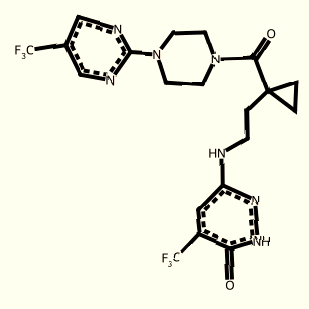 O=C(N1CCN(c2ncc(C(F)(F)F)cn2)CC1)C1(CCNc2cc(C(F)(F)F)c(=O)[nH]n2)CC1